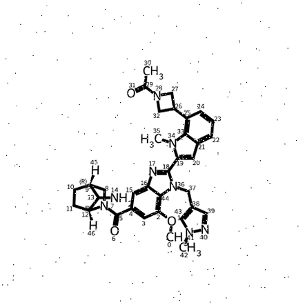 COc1cc(C(=O)N2C[C@H]3CC[C@@H]2C3N)cc2nc(-c3cc4cccc(C5CN(C(C)=O)C5)c4n3C)n(Cc3cnn(C)c3)c12